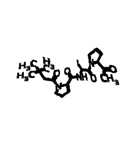 CC(=O)C1CCCN1C(=O)C(I)NC(=O)C1CCCN1C(=O)CC(C)(C)C